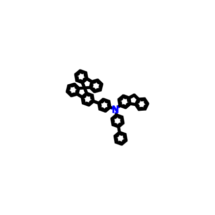 c1ccc(-c2ccc(N(c3ccc(-c4ccc5c(c4)C4(c6ccccc6-c6ccccc64)c4ccccc4-5)cc3)c3ccc4c(c3)-c3ccccc3C4)cc2)cc1